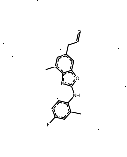 Cc1cc(F)ccc1Nc1nc2c(C)cc(CC=O)cc2o1